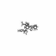 O=C(Nc1cc(N2CCC[C@H]2CO)nc2c(C3CC3)cnn12)c1cccnc1